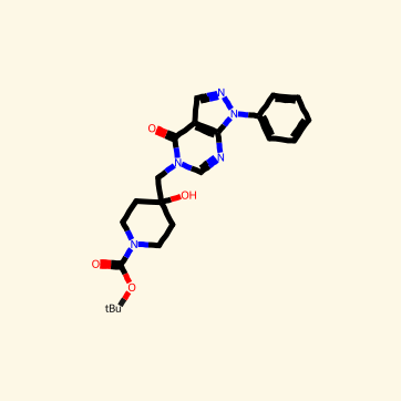 CC(C)(C)OC(=O)N1CCC(O)(Cn2cnc3c(cnn3-c3ccccc3)c2=O)CC1